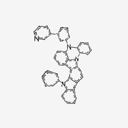 c1ccc(-n2c3ccccc3c3ccc4c(c5cccc6c5n4-c4ccccc4N6c4cccc(-c5cccnc5)c4)c32)cc1